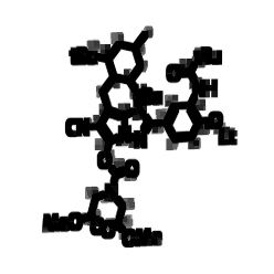 [C-]#[N+]c1c(CC2C(C(C)(C)C)CC(C)CC2C(C)(C)C)c2[nH]c(-c3ccc(OCC)c(NC(=O)C(C)(C)C)c3)nn2c1OC(=O)N(CC(=O)OC)CC(=O)OC